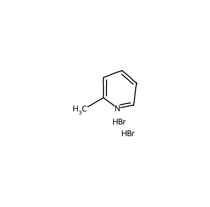 Br.Br.Cc1ccccn1